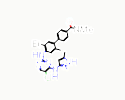 CCc1cc(-c2ccc(C(=O)NC)cc2)c(C)cc1Nc1ncc(Cl)c(Nc2cc(C)[nH]n2)n1